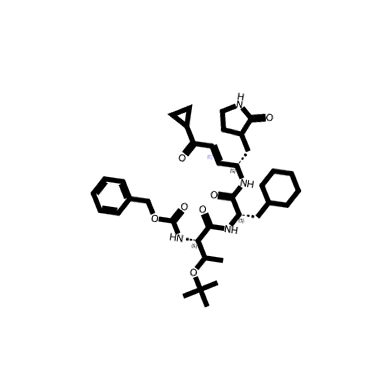 CC(OC(C)(C)C)[C@H](NC(=O)OCc1ccccc1)C(=O)N[C@@H](CC1CCCCC1)C(=O)N[C@H](/C=C/C(=O)C1CC1)CC1CCNC1=O